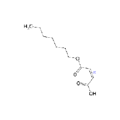 CCCCCCCOC(=O)/C=C\C(=O)O